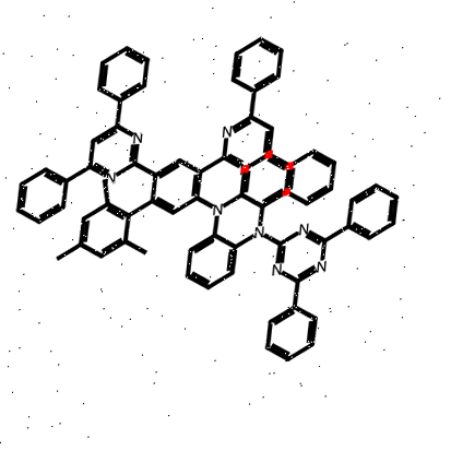 Cc1cc(C)c(-c2cc(N3c4ccccc4N(c4nc(-c5ccccc5)nc(-c5ccccc5)n4)c4ccccc43)c(-c3nc(-c4ccccc4)cc(-c4ccccc4)n3)cc2-c2nc(-c3ccccc3)cc(-c3ccccc3)n2)c(C)c1